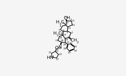 C=C1CC2C(CC[C@]3(C)C(=C)CCC23)[C@@]2(C)CCC(=NOC3CCNC3)C(c3ccccc3)C12